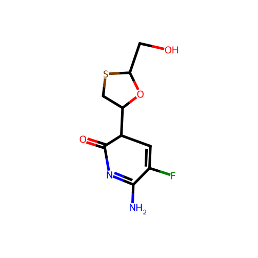 NC1=NC(=O)C(C2CSC(CO)O2)C=C1F